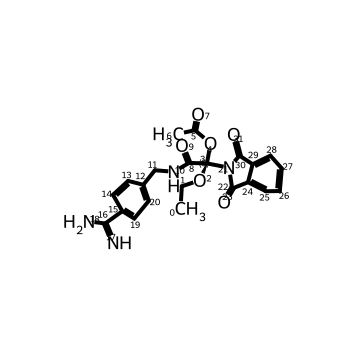 CCO[C@](OC(C)=O)(C(=O)NCc1ccc(C(=N)N)cc1)N1C(=O)c2ccccc2C1=O